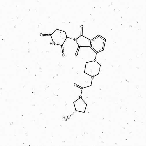 N[C@H]1CCN(C(=O)CN2CCN(c3cccc4c3C(=O)N(C3CCC(=O)NC3=O)C4=O)CC2)C1